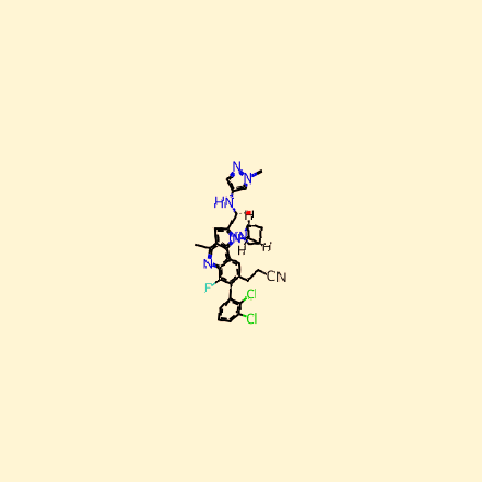 Cc1nc2c(F)c(-c3cccc(Cl)c3Cl)c(CCC#N)cc2c2c1cc([C@@H](C)Nc1cnn(C)c1)n2[C@H]1[C@H]2CN[C@@H]1C2